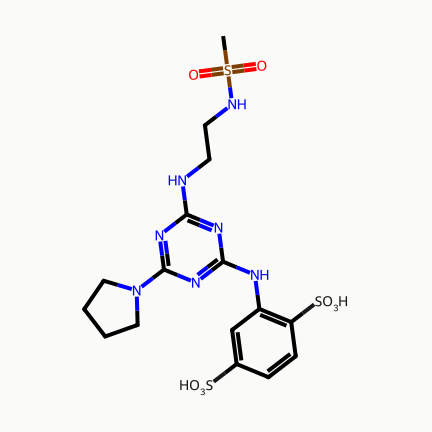 CS(=O)(=O)NCCNc1nc(Nc2cc(S(=O)(=O)O)ccc2S(=O)(=O)O)nc(N2CCCC2)n1